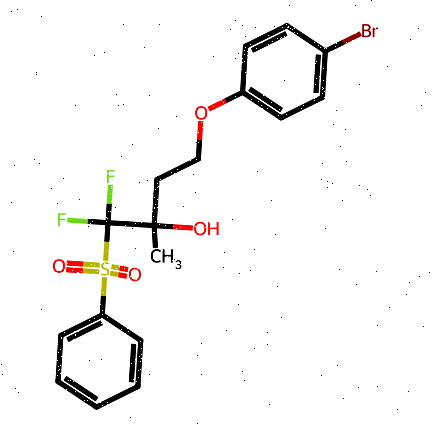 CC(O)(CCOc1ccc(Br)cc1)C(F)(F)S(=O)(=O)c1ccccc1